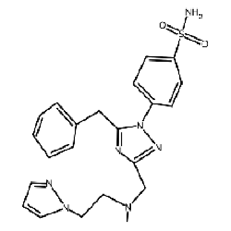 CN(CCn1cccn1)Cc1nc(Cc2ccccc2)n(-c2ccc(S(N)(=O)=O)cc2)n1